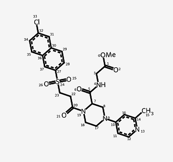 COC(=O)CNC(=O)C1CN(c2ccnc(C)c2)CCN1C(=O)CCS(=O)(=O)c1ccc2cc(Cl)ccc2c1